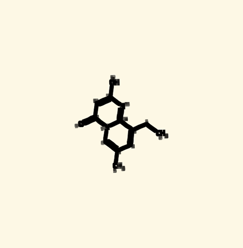 CCc1cc(C)cn2c(=O)cc(O)nc12